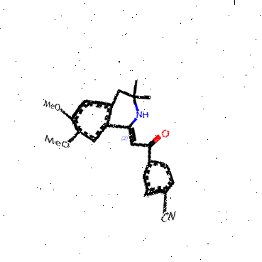 COc1cc2c(cc1OC)/C(=C/C(=O)c1ccc(C#N)cc1)NC(C)(C)C2